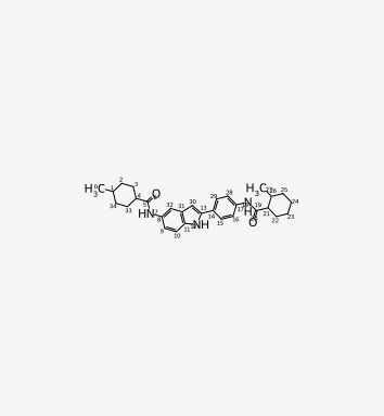 CC1CCC(C(=O)Nc2ccc3[nH]c(-c4ccc(NC(=O)C5CCCCC5C)cc4)cc3c2)CC1